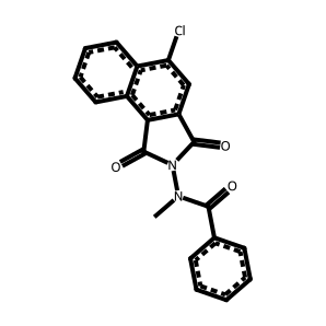 CN(C(=O)c1ccccc1)N1C(=O)c2cc(Cl)c3ccccc3c2C1=O